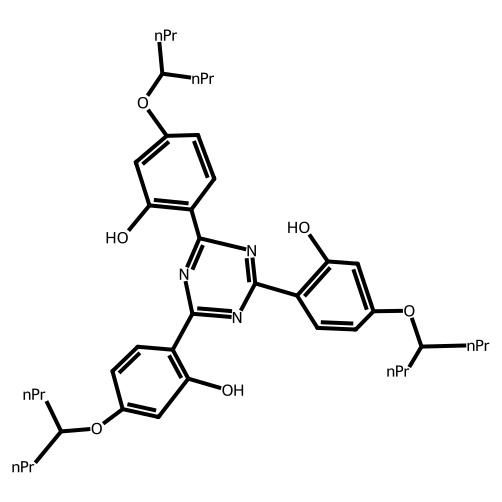 CCCC(CCC)Oc1ccc(-c2nc(-c3ccc(OC(CCC)CCC)cc3O)nc(-c3ccc(OC(CCC)CCC)cc3O)n2)c(O)c1